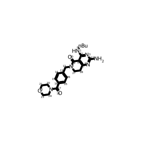 CCCCNc1nc(N)nc2c1C(=O)N(Cc1ccc(C(=O)N3CCOCC3)cc1)CC2